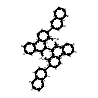 c1ccc2cc(-c3ccc4c5ccccc5c5oc6c(-c7ccc8ccccc8c7)ccc7c8ccccc8c8oc3c4c5-c8c67)ccc2c1